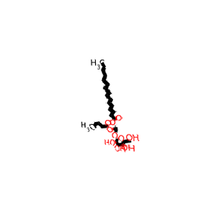 CC/C=C\CC(=O)O[C@H](COC(=O)CCCCCCCCCCCCCCC)COC1OC(CO)C(O)C(O)C1O